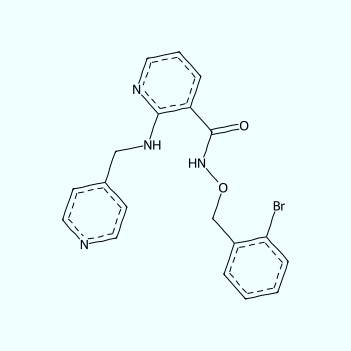 O=C(NOCc1ccccc1Br)c1cccnc1NCc1ccncc1